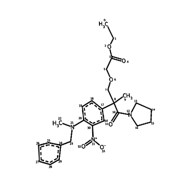 CCOC(=O)COCC(C)(C(=O)N1CCCC1)c1ccc(N(C)Cc2ccccc2)c([N+](=O)[O-])c1